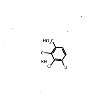 O=C(O)c1ccc(Cl)c(Cl)c1Cl.[KH]